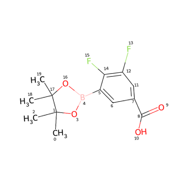 CC1(C)OB(c2cc(C(=O)O)cc(F)c2F)OC1(C)C